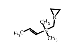 CC=C[Si](C)(C)CN1CC1